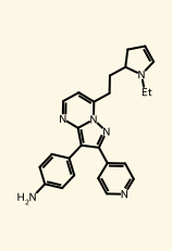 CCN1C=CCC1CCc1ccnc2c(-c3ccc(N)cc3)c(-c3ccncc3)nn12